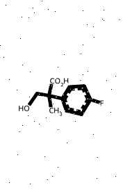 CC(CO)(C(=O)O)c1ccc(F)cc1